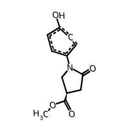 COC(=O)[C@@H]1CC(=O)N(c2ccc(O)cc2)C1